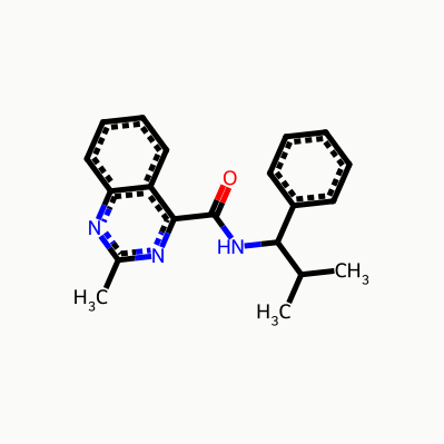 Cc1nc(C(=O)NC(c2ccccc2)C(C)C)c2ccccc2n1